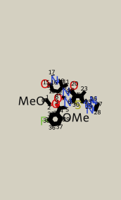 COCCOC(Cn1c(=O)n(C2(C)CCC(=O)N(C)C2)c(=O)c2c(C)c(-n3nccn3)sc21)c1cc(F)ccc1OC